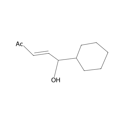 CC(=O)/C=C/C(O)C1CCCCC1